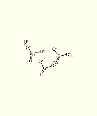 O=[Si]([O-])[O-].O=[Si]([O-])[O-].O=[Si]([O-])[O-].[U+6]